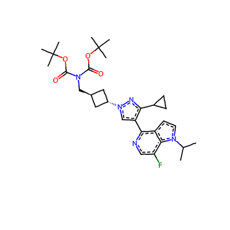 CC(C)n1ccc2c(-c3cn([C@H]4C[C@H](CN(C(=O)OC(C)(C)C)C(=O)OC(C)(C)C)C4)nc3C3CC3)ncc(F)c21